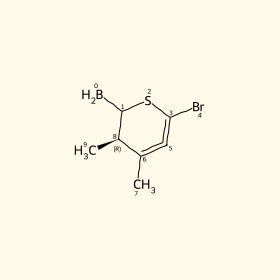 BC1SC(Br)=C=C(C)[C@H]1C